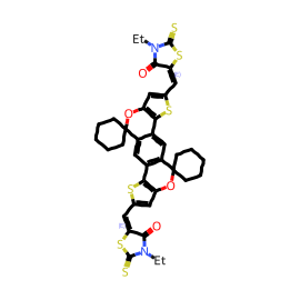 CCN1C(=O)/C(=C\c2cc3c(s2)-c2cc4c(cc2C2(CCCCC2)O3)-c2sc(/C=C3/SC(=S)N(CC)C3=O)cc2OC42CCCCC2)SC1=S